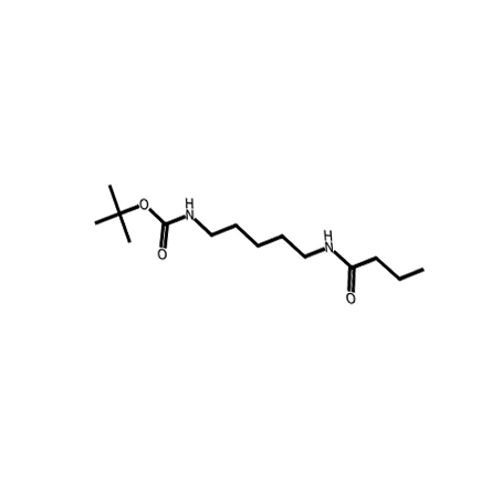 CCCC(=O)NCCCCCNC(=O)OC(C)(C)C